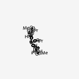 COC(=O)N[C@H](C(=O)N1CCC[C@H]1c1nc2cc([C@H]3CC[C@H](c4ccc5nc([C@@H]6CCCN6C(=O)[C@@H](NC(=O)OC)C(C)C)[nH]c5c4)N3c3ccc(OC(C)C)cc3)ccc2[nH]1)C(C)C